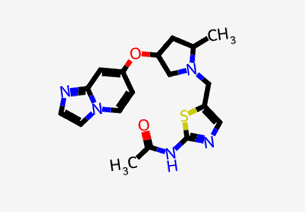 CC(=O)Nc1ncc(CN2CC(Oc3ccn4ccnc4c3)CC2C)s1